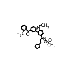 CCn1c2ccc(C(=O)c3ccccc3C)cc2c2cc(C(CCC3CCCC3)=NOC(C)=O)ccc21